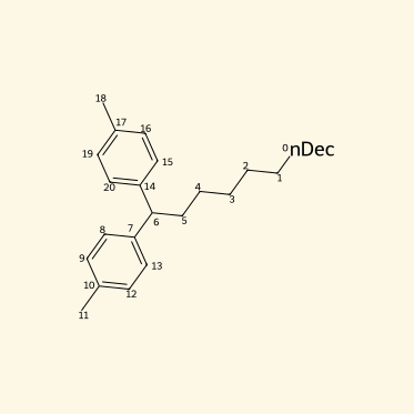 CCCCCCCCCCCCCCCC(c1ccc(C)cc1)c1ccc(C)cc1